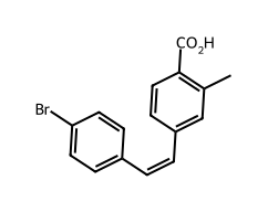 Cc1cc(/C=C\c2ccc(Br)cc2)ccc1C(=O)O